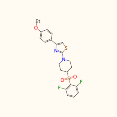 CCOc1ccc(-c2csc(N3CCC(S(=O)(=O)c4c(F)cccc4F)CC3)n2)cc1